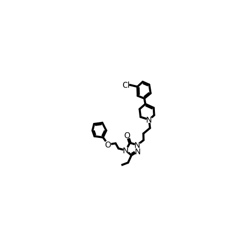 CCc1nn(CCCN2CC=C(c3cccc(Cl)c3)CC2)c(=O)n1CCOc1ccccc1